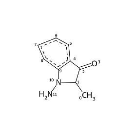 CC1C(=O)c2ccccc2N1N